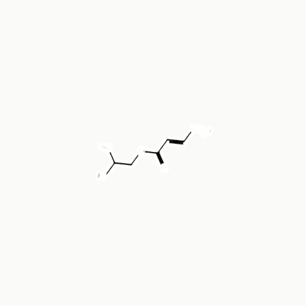 CC(C)C(O)COC(=O)C=CC(=O)O